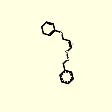 C1=CC(SC/C=C\SSCc2ccccc2)=CCC1